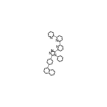 c1ccc(-n2c(-c3ccc(-c4cccc5ccccc45)cc3)nnc2-c2cccc(-c3cccc(-c4ccccn4)n3)n2)cc1